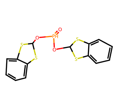 O=[PH](OC1Sc2ccccc2S1)OC1Sc2ccccc2S1